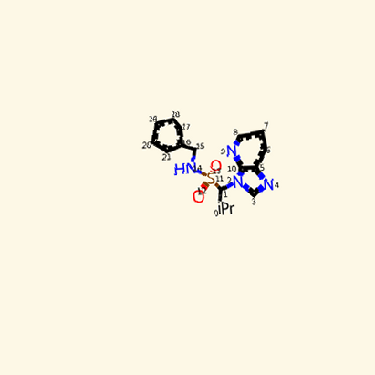 CC(C)C(n1cnc2cccnc21)S(=O)(=O)NCc1ccccc1